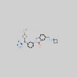 Cn1cnnc1[C@@H](c1cccc(N2Cc3c(cc(CNC4(C)CCC4)cc3C(F)(F)F)C2=O)c1)C1CC(OC(F)(F)F)C1